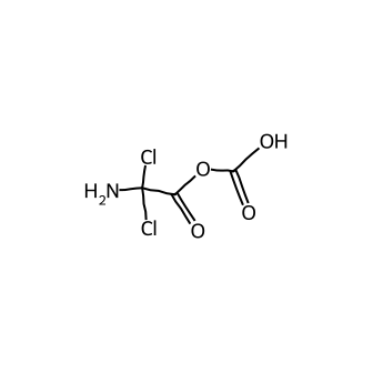 NC(Cl)(Cl)C(=O)OC(=O)O